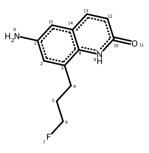 Nc1cc(CCCF)c2[nH]c(=O)ccc2c1